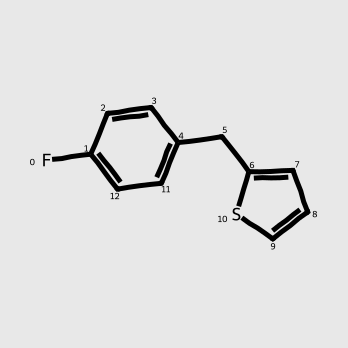 Fc1ccc(Cc2cccs2)cc1